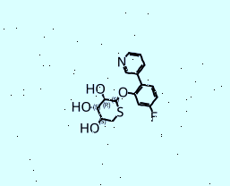 O[C@@H]1[C@@H](O)[C@@H](Oc2cc(F)ccc2-c2cccnc2)SC[C@H]1O